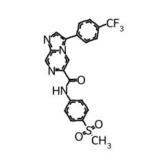 CS(=O)(=O)c1ccc(NC(=O)c2cn3c(-c4ccc(C(F)(F)F)cc4)cnc3cn2)cc1